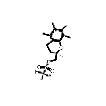 Cc1c(C)c(C)c2c(c1C)CC[C@](C)(COS(=O)(=O)C(F)(F)F)O2